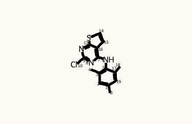 Cc1cc(C)c(Nc2nc(Cl)nc3sccc23)c(C)c1